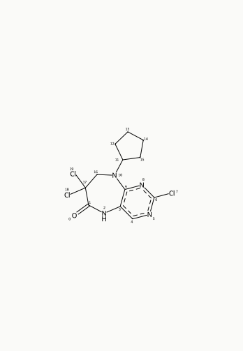 O=C1Nc2cnc(Cl)nc2N(C2CCCC2)CC1(Cl)Cl